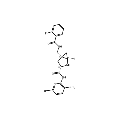 Cc1ccc(Br)nc1NC(=O)[C@@H]1C[C@@]2(CNC(=O)c3ccccc3F)C[C@H]2N1